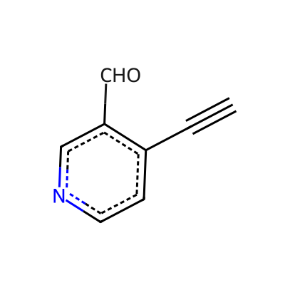 C#Cc1ccncc1C=O